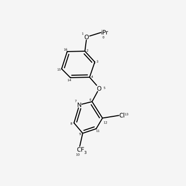 CC(C)Oc1[c]c(Oc2ncc(C(F)(F)F)cc2Cl)ccc1